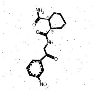 NC(=O)[C@H]1CCCC[C@H]1C(=O)NCC(=O)c1cccc([N+](=O)[O-])c1